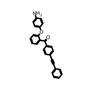 Nc1ccc(Oc2ccccc2C(=O)c2ccc(C#Cc3ccccc3)cc2)cc1